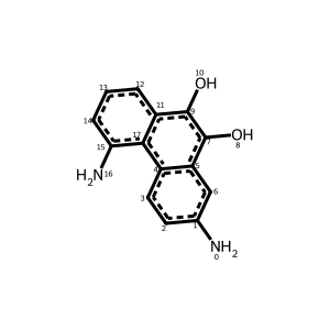 Nc1ccc2c(c1)c(O)c(O)c1cccc(N)c12